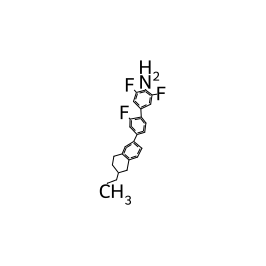 CCCC1CCc2cc(-c3ccc(-c4cc(F)c(N)c(F)c4)c(F)c3)ccc2C1